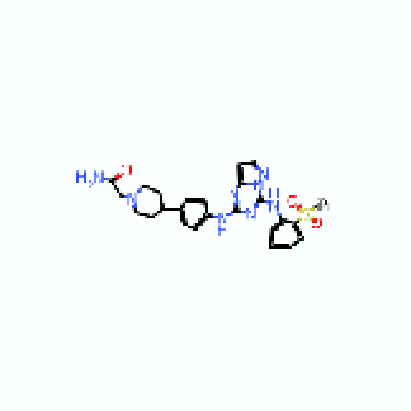 CC(C)S(=O)(=O)c1ccccc1Nc1nc(Nc2ccc(C3CCN(CC(N)=O)CC3)cc2)nc2ccnn12